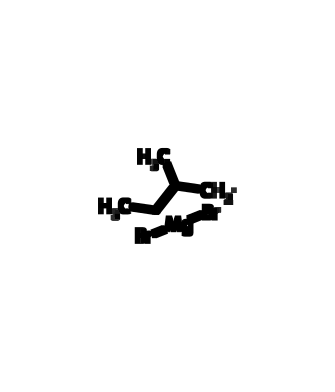 [Br][Mg][Br].[CH2]C(C)CC